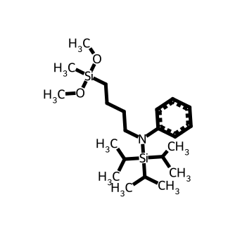 CO[Si](C)(CCCCN(c1ccccc1)[Si](C(C)C)(C(C)C)C(C)C)OC